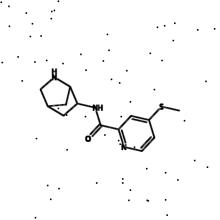 CSc1ccnc(C(=O)NC2CC3CNC2C3)c1